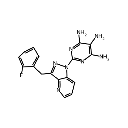 Nc1nc(-n2nc(Cc3ccccc3F)c3ncccc32)nc(N)c1N